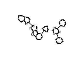 c1ccc(-c2nc(-c3ccccc3)nc(-c3cccc(-c4cccc5oc6nc(-c7ccc8ccccc8n7)ccc6c45)c3)n2)cc1